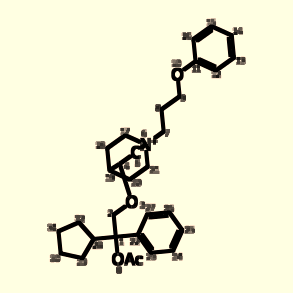 CC(=O)OC(COC1C[N+]2(CCCOc3ccccc3)CCC1CC2)(c1ccccc1)C1CCCC1